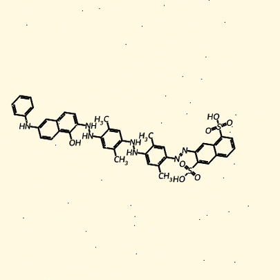 Cc1cc(NNc2cc(C)c(NNc3ccc4cc(Nc5ccccc5)ccc4c3O)cc2C)c(C)cc1N=Nc1cc2c(S(=O)(=O)O)cccc2cc1S(=O)(=O)O